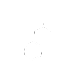 [CH2]C(=O)N(C)Cc1ccccc1